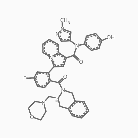 Cn1cc(N(C(=O)c2cc(-c3cc(F)ccc3C(=O)N3Cc4ccccc4C[C@H]3CN3CCOCC3)n3ccccc23)c2ccc(O)cc2)cn1